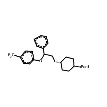 CCCCC[C@H]1CC[C@H](CCC(Oc2ccc(C(F)(F)F)cc2)c2ccccc2)CC1